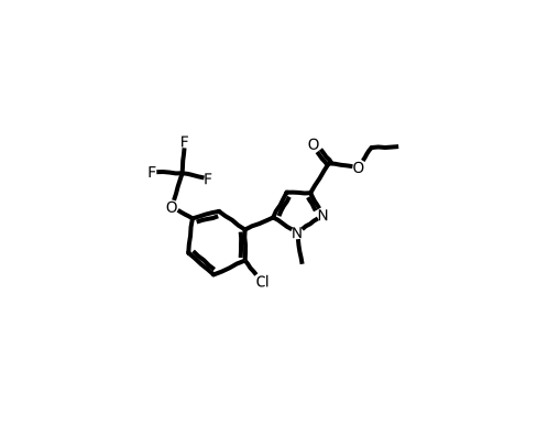 CCOC(=O)c1cc(-c2cc(OC(F)(F)F)ccc2Cl)n(C)n1